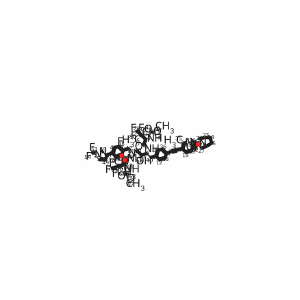 COC(=O)N[C@H](C(=O)N[C@@H](Cc1ccc(C#Cc2ccc(N3CC4CCC(C3)N4C3COC3)nc2C)cc1)[C@@H](O)CN(Cc1c(F)cc(-c2ccn(C(F)F)n2)cc1F)NC(=O)[C@@H](NC(=O)OC)C(C)(C)C(F)(F)F)C(C)(C)C(F)(F)F